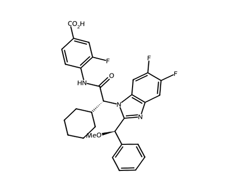 CO[C@H](c1ccccc1)c1nc2cc(F)c(F)cc2n1[C@@H](C(=O)Nc1ccc(C(=O)O)cc1F)C1CCCCC1